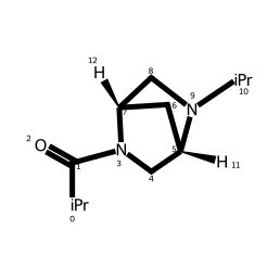 CC(C)C(=O)N1C[C@@H]2C[C@H]1CN2C(C)C